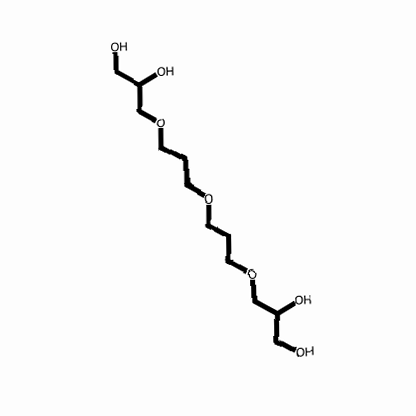 OCC(O)COCCCOCCCOCC(O)CO